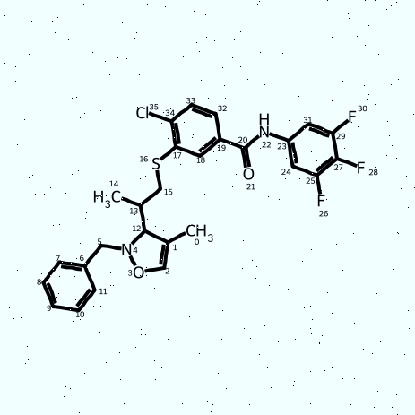 CC1=CON(Cc2ccccc2)C1C(C)CSc1cc(C(=O)Nc2cc(F)c(F)c(F)c2)ccc1Cl